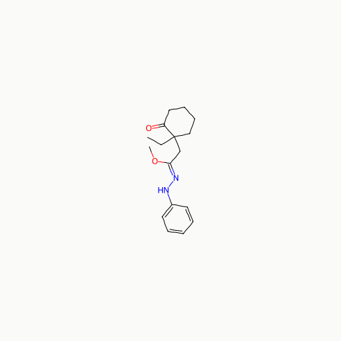 CCC1(CC(=NNc2ccccc2)OC)CCCCC1=O